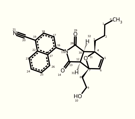 CCCC[C@@]12C=C[C@@](CCO)(O1)[C@H]1C(=O)N(c3ccc(C#N)c4ccccc34)C(=O)[C@H]12